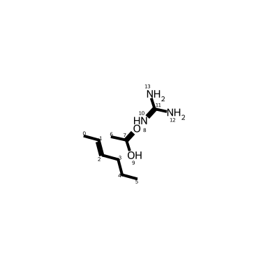 C/C=C/CCC.CC(=O)O.N=C(N)N